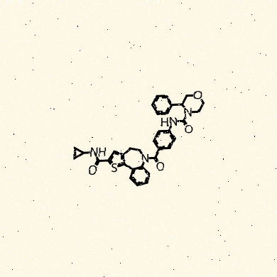 O=C(NC1CC1)c1cc2c(s1)-c1ccccc1N(C(=O)c1ccc(NC(=O)N3CCOCC3c3ccccc3)cc1)CC2